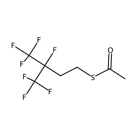 CC(=O)SCCC(F)(C(F)(F)F)C(F)(F)F